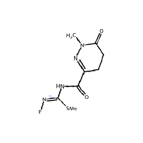 CS/C(=N\F)NC(=O)C1=NN(C)C(=O)CC1